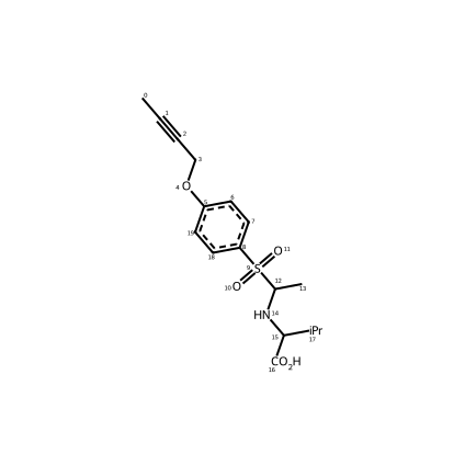 CC#CCOc1ccc(S(=O)(=O)C(C)NC(C(=O)O)C(C)C)cc1